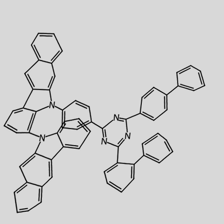 c1ccc(-c2ccc(-c3nc(-c4ccc(-n5c6cc7ccccc7cc6c6cccc(-n7c8ccccc8c8cc9ccccc9cc87)c65)cc4)nc(-c4ccccc4-c4ccccc4)n3)cc2)cc1